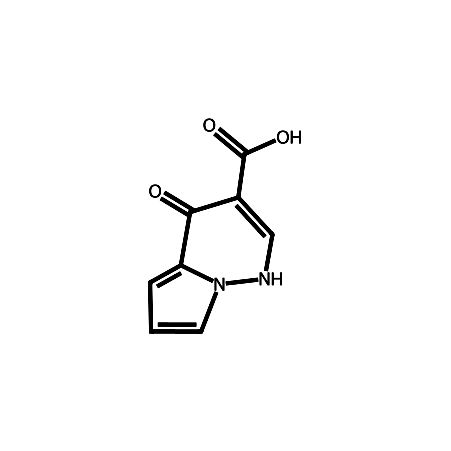 O=C(O)c1c[nH]n2cccc2c1=O